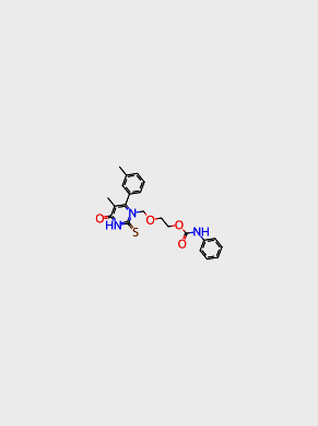 Cc1cccc(-c2c(C)c(=O)[nH]c(=S)n2COCCOC(=O)Nc2ccccc2)c1